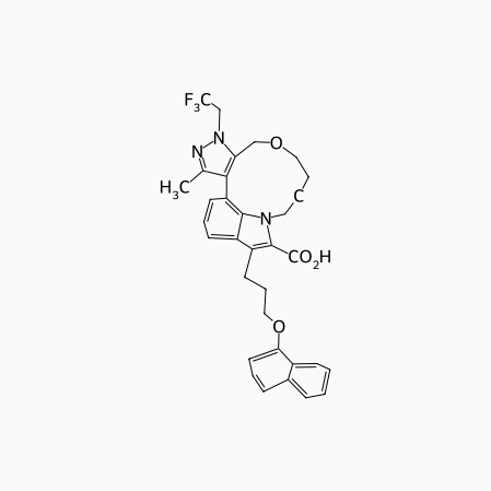 Cc1nn(CC(F)(F)F)c2c1-c1cccc3c(CCCOc4cccc5ccccc45)c(C(=O)O)n(c13)CCCCOC2